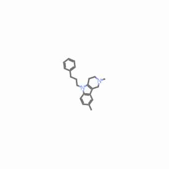 Cc1ccc2c(c1)c1c(n2CCCc2ccccc2)CCN(C)C1